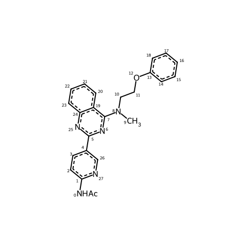 CC(=O)Nc1ccc(-c2nc(N(C)CCOc3ccccc3)c3ccccc3n2)cn1